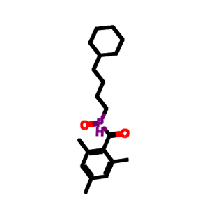 Cc1cc(C)c(C(=O)[PH](=O)CCCCC2CCCCC2)c(C)c1